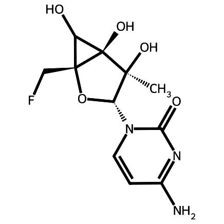 C[C@]1(O)[C@H](n2ccc(N)nc2=O)O[C@]2(CF)C(O)[C@]12O